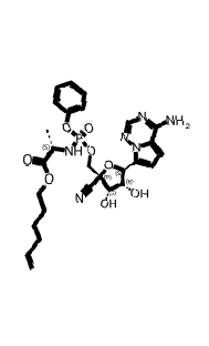 CCCCCCOC(=O)[C@H](C)NP(=O)(OC[C@@]1(C#N)O[C@@H](c2ccc3c(N)ncnn23)[C@H](O)[C@@H]1O)Oc1ccccc1